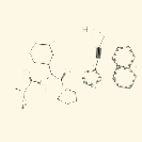 CCC#Cc1sc([C@@H]2CCCN2C(=O)[C@@H](NC(=O)[C@H](C)NC)C2CCCCC2)nc1-c1cccc2ccccc12